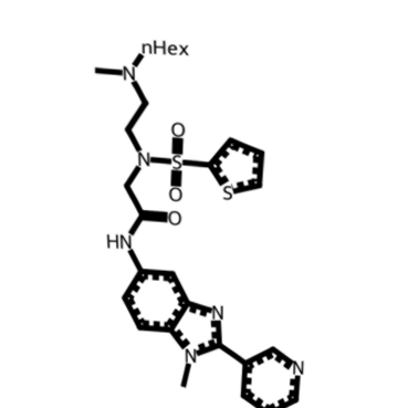 CCCCCCN(C)CCN(CC(=O)Nc1ccc2c(c1)nc(-c1cccnc1)n2C)S(=O)(=O)c1cccs1